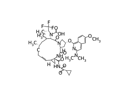 COc1ccc2c(O[C@@H]3C[C@H]4C(=O)N[C@]5(C(=O)NS(=O)(=O)C6CC6)C[C@H]5C=CCC[C@H](C)C[C@@H](C)[C@H](N(C(=O)O)[C@H](C)C(F)(F)F)C(=O)N4C3)nc(N(C)C)cc2c1